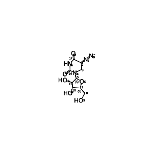 [N-]=[N+]=C1CN([C@H]2O[C@@H](CO)C(O)C2O)C(=O)NC1=O